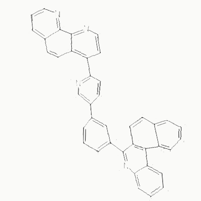 c1cc(-c2ccc(-c3ccnc4c3ccc3cccnc34)nc2)cc(-c2nc3ccccc3c3c2ccc2ccccc23)c1